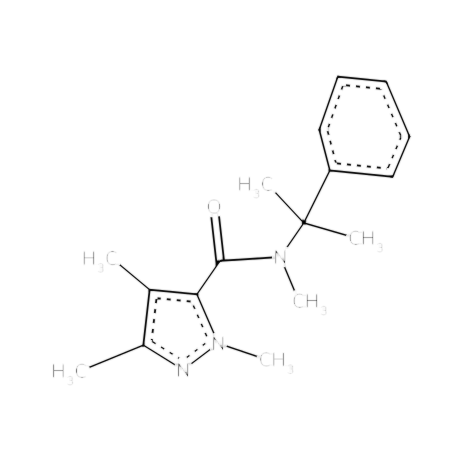 Cc1nn(C)c(C(=O)N(C)C(C)(C)c2ccccc2)c1C